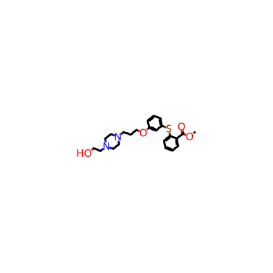 COC(=O)c1ccccc1Sc1cccc(OCCCN2CCN(CCO)CC2)c1